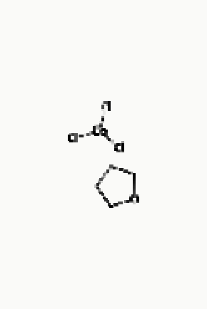 C1CCOC1.[Cl][Co]([Cl])[Cl]